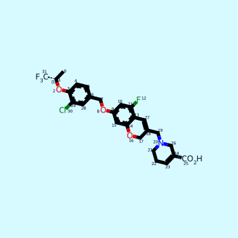 C[C@H](Oc1ccc(COc2cc(F)c3c(c2)OCC(CN2CCC=C(C(=O)O)C2)=C3)cc1Cl)C(F)(F)F